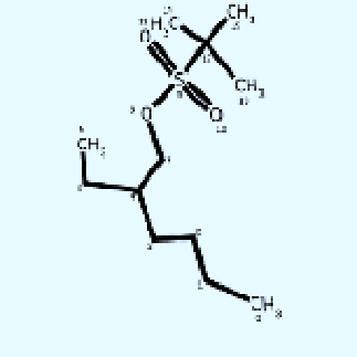 CCCCC(CC)COS(=O)(=O)C(C)(C)C